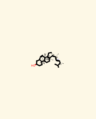 CC(C)[C@@H](C)/C=C/[C@@H](C)[C@H]1CC[C@H]2[C@@H]3C=CC4CC(O)CC[C@]4(C)[C@H]3CC[C@]12C